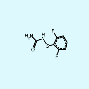 NC(=O)NSc1c(F)cccc1F